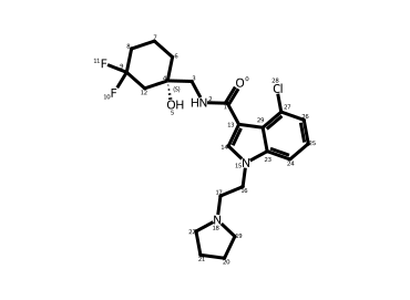 O=C(NC[C@]1(O)CCCC(F)(F)C1)c1cn(CCN2CCCC2)c2cccc(Cl)c12